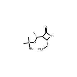 C[C@@H](O[Si](C)(C)C(C)(C)C)C1C(=O)N[C@@H]1CC(=O)O